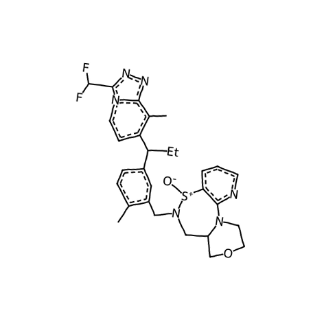 CCC(c1ccc(C)c(CN2CC3COCCN3c3ncccc3[S+]2[O-])c1)c1ccn2c(C(F)F)nnc2c1C